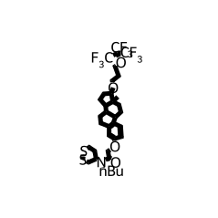 CCCCN(C(=O)COc1ccc2c(c1)CCC1C2CCC2(C)C(OCCCOC(C(F)(F)F)(C(F)(F)F)C(F)(F)F)CCC12)C1CCSSC1